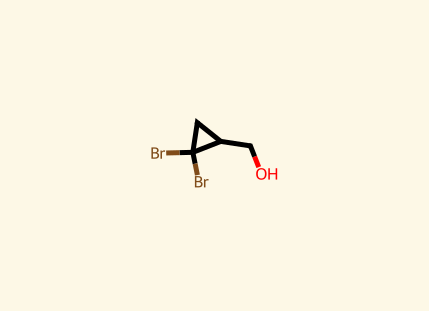 OCC1CC1(Br)Br